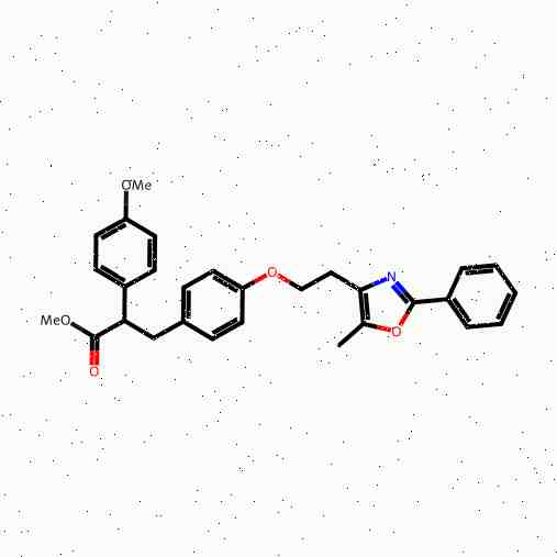 COC(=O)C(Cc1ccc(OCCc2nc(-c3ccccc3)oc2C)cc1)c1ccc(OC)cc1